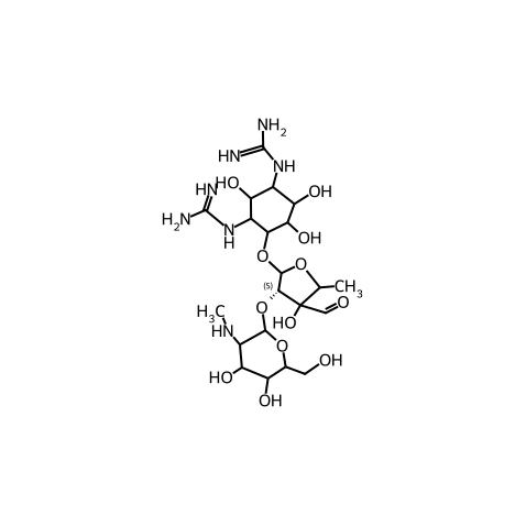 CNC1C(O[C@@H]2C(OC3C(O)C(O)C(NC(=N)N)C(O)C3NC(=N)N)OC(C)C2(O)C=O)OC(CO)C(O)C1O